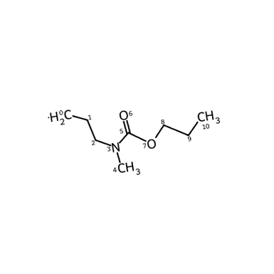 [CH2]CCN(C)C(=O)OCCC